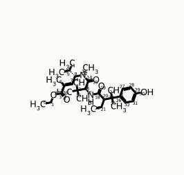 CCOC(=O)/C(C)=C/[C@H](C(C)C)N(C)C(=O)[C@@H](NC(=O)C(CC)C(C)(C)c1ccc(O)cc1)C(C)(C)C